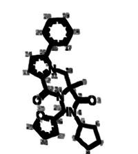 CC1(C(=O)NC2CCCC2)Cn2c(ccc2-c2ccccc2)C(=O)N1Cc1ccco1